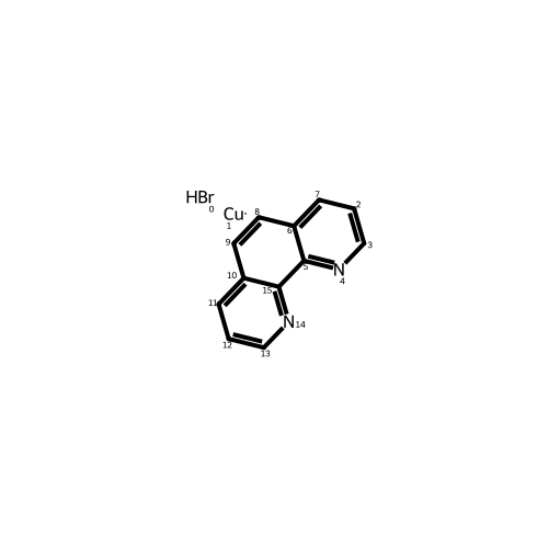 Br.[Cu].c1cnc2c(c1)ccc1cccnc12